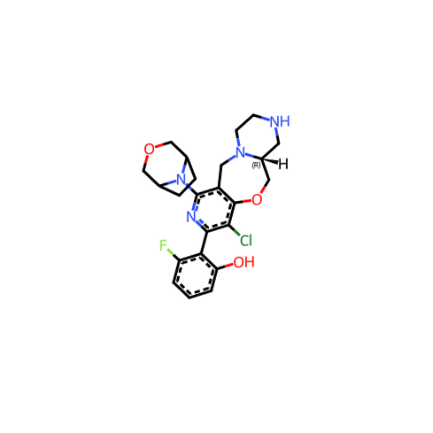 Oc1cccc(F)c1-c1nc(N2C3CCC2COC3)c2c(c1Cl)OC[C@H]1CNCCN1C2